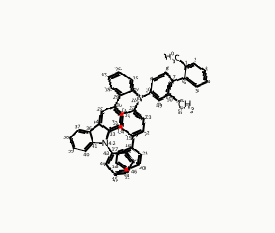 Cc1ccccc1-c1ccc(N(c2ccc(-c3ccccc3)cc2)c2ccccc2-c2ccc3c(c2)c2ccccc2n3-c2ccccc2)cc1C